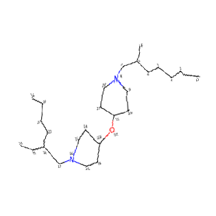 CCCCCC(C)CN1CCC(OC2CCN(CC(CC)CCCC)CC2)CC1